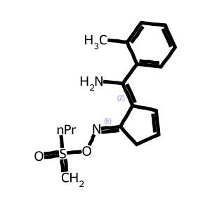 C=S(=O)(CCC)O/N=C1\CC=C\C1=C(\N)c1ccccc1C